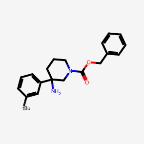 CC(C)(C)c1cccc(C2(N)CCCN(C(=O)OCc3ccccc3)C2)c1